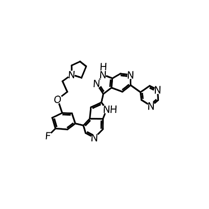 Fc1cc(OCCN2CCCC2)cc(-c2cncc3[nH]c(-c4n[nH]c5cnc(-c6cncnc6)cc45)cc23)c1